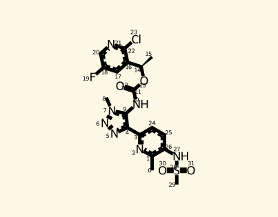 Cc1nc(-c2nnn(C)c2NC(=O)O[C@H](C)c2cc(F)cnc2Cl)ccc1NS(C)(=O)=O